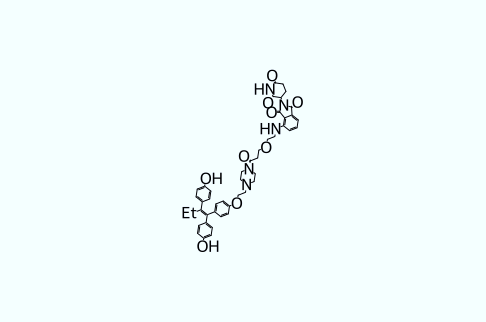 CCC(=C(c1ccc(O)cc1)c1ccc(OCCN2CCN(C(=O)CCOCCNc3cccc4c3C(=O)N(C3CCC(=O)NC3=O)C4=O)CC2)cc1)c1ccc(O)cc1